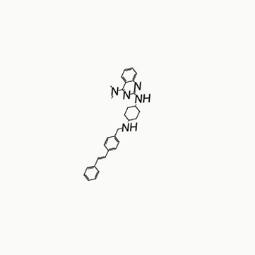 CN(C)c1nc(N[C@H]2CC[C@@H](NCc3ccc(/C=C/c4ccccc4)cc3)CC2)nc2ccccc12